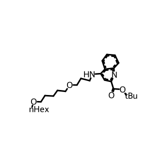 CCCCCCOCCCCCOCCCNc1cc(C(=O)OC(C)(C)C)nc2ccccc12